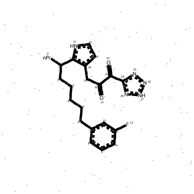 CCCC(CCCCCc1cccc(F)c1)c1[nH]ccc1CC(=O)C(=O)c1nn[nH]n1